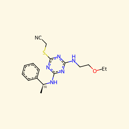 CCOCCNc1nc(N[C@@H](C)c2ccccc2)nc(SCC#N)n1